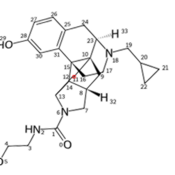 O=C(NCCO)N1C[C@H]2C[C@@]34CCC1C2[C@@]31CCN(CC2CC2)[C@@H]4Cc2ccc(O)cc21